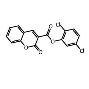 O=C(Oc1cc(Cl)ccc1Cl)c1cc2ccccc2oc1=O